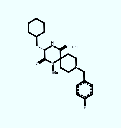 CCCCN1C(=O)[C@H](CC2CCCCC2)NC(=O)C12CCN(Cc1ccc(F)cc1)CC2.Cl